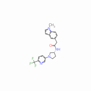 Cn1ccc2cc(CC(=O)N[C@@H]3CCN(c4ccc(C(F)(F)F)nc4)C3)ccc21